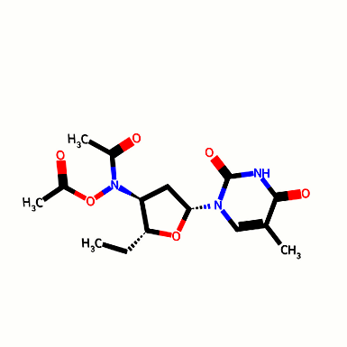 CC[C@H]1O[C@@H](n2cc(C)c(=O)[nH]c2=O)C[C@@H]1N(OC(C)=O)C(C)=O